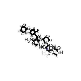 CCC1C(=O)NCCN1C(C)(C)/C=C(/C#N)C(=O)N1CCCC(n2nc(-c3ccc(Oc4ccccc4)cc3F)c3c(N)ncnc32)C1